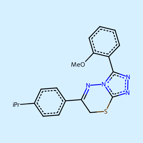 COc1ccccc1-c1nnc2n1N=C(c1ccc(C(C)C)cc1)CS2